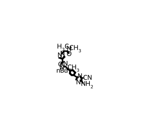 CCCC[C@](C)(c1ccc(-c2cnc(N)c(C#N)n2)cc1)c1noc(-c2cnn(CC(=O)N(C)C)c2)n1